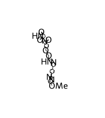 COc1ccc2nc(-c3ccc(-c4ccnc(NCCOCCOc5ccc6c(c5)CN(C5CCC(=O)NC5=O)C6=O)c4)cc3)cn2c1